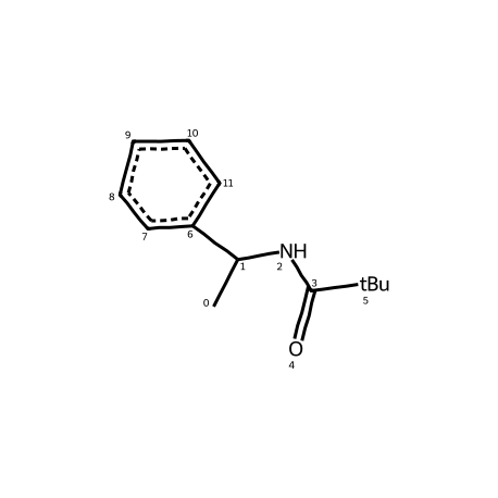 CC(NC(=O)C(C)(C)C)c1ccccc1